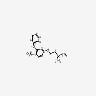 CN(C)CCOc1ccc([N+](=O)[O-])c(Oc2ccccc2)c1